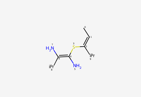 C/C=C(\S/C(N)=C(\N)C(C)C)C(C)C